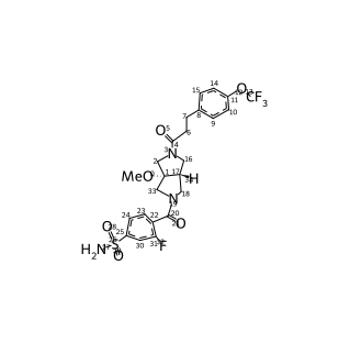 CO[C@]12CN(C(=O)CCc3ccc(OC(F)(F)F)cc3)C[C@@H]1CN(C(=O)c1ccc(S(N)(=O)=O)cc1F)C2